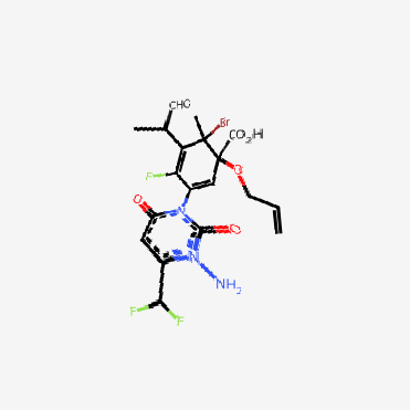 C=CCOC1(C(=O)O)C=C(n2c(=O)cc(C(F)F)n(N)c2=O)C(F)=C(C(C)C=O)C1(C)Br